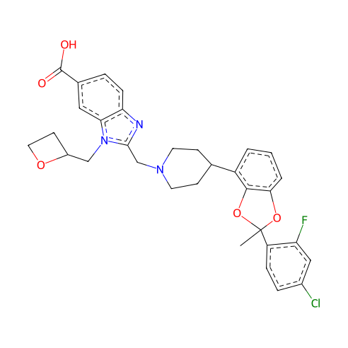 CC1(c2ccc(Cl)cc2F)Oc2cccc(C3CCN(Cc4nc5ccc(C(=O)O)cc5n4CC4CCO4)CC3)c2O1